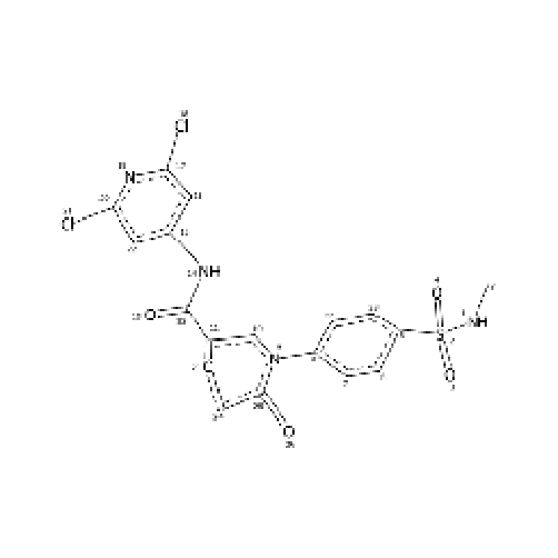 CNS(=O)(=O)c1ccc(-n2cc(C(=O)Nc3cc(Cl)nc(Cl)c3)ccc2=O)cc1